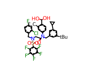 CC(C)(C)c1cc(CN(C(=O)CN(Cc2ccc(F)cc2Cl)S(=O)(=O)c2c(F)c(F)c(F)c(F)c2F)c2ccc(C(O)O)c(C(F)(F)F)c2)cc(C2CC2)c1